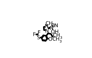 CN1CCN(C2c3cc(SC(F)F)ccc3OC(C)(C)C2O)C1=NC#N